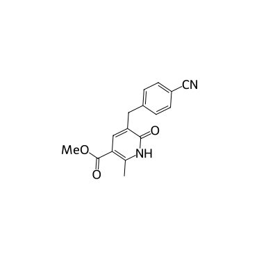 COC(=O)c1cc(Cc2ccc(C#N)cc2)c(=O)[nH]c1C